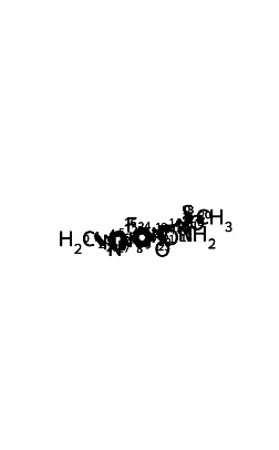 C=CCN1CCN(c2ccc(N3C[C@H](CN(N)C(=S)OC)OC3=O)cc2F)C=N1